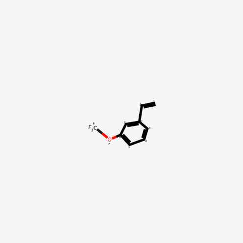 C=[C]c1cccc(OC(F)(F)F)c1